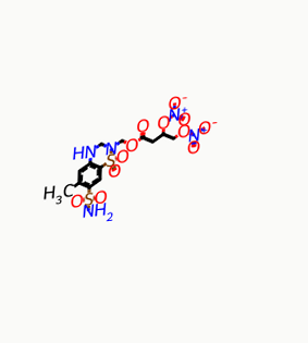 Cc1cc2c(cc1S(N)(=O)=O)S(=O)(=O)N(COC(=O)CC(CO[N+](=O)[O-])O[N+](=O)[O-])CN2